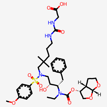 CCN(C(=O)O[C@H]1CO[C@H]2OCC[C@H]21)[C@@H](Cc1ccccc1)[C@H](O)CN(CC(C)(C)CCCNC(=O)NCC(=O)O)S(=O)(=O)c1ccc(OC)cc1